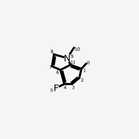 Cc1ccc(F)c2ccn(C)c12